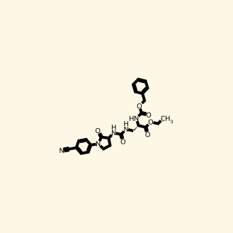 CCOC(=O)[C@H](CNC(=O)NC1CCN(c2ccc(C#N)cc2)C1=O)NC(=O)OCc1ccccc1